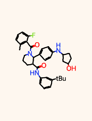 Cc1cccc(F)c1C(=O)N1CCCC(C(=O)Nc2cccc(C(C)(C)C)c2)C1c1ccc(NC2CCC(O)C2)cc1